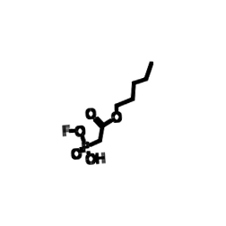 CCCCCOC(=O)CP(=O)(O)OF